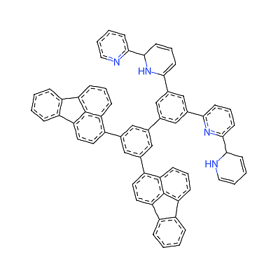 C1=CNC(c2cccc(-c3cc(C4=CC=CC(c5ccccn5)N4)cc(-c4cc(-c5ccc6c7c(cccc57)-c5ccccc5-6)cc(-c5ccc6c7c(cccc57)-c5ccccc5-6)c4)c3)n2)C=C1